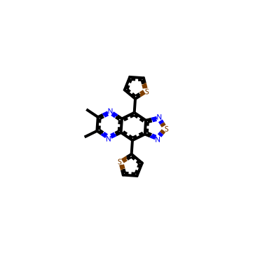 Cc1nc2c(-c3cccs3)c3nsnc3c(-c3cccs3)c2nc1C